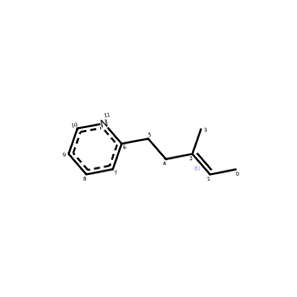 C/C=C(\C)CCc1ccccn1